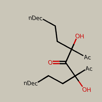 CCCCCCCCCCCCC(O)(C(C)=O)C(=O)C(O)(CCCCCCCCCCCC)C(C)=O